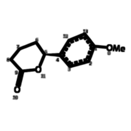 COc1ccc([C@@H]2CCCC(=O)O2)cc1